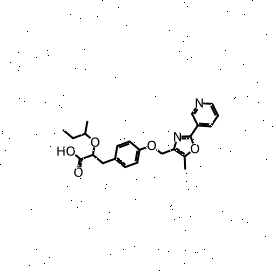 CCC(C)OC(Cc1ccc(OCc2nc(-c3cccnc3)oc2C)cc1)C(=O)O